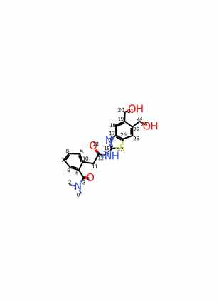 CN(C)C(=O)c1ccccc1CC(=O)Nc1nc2cc(CO)c(CO)cc2s1